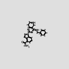 NC(=O)c1cccc2c1cnn2-c1nc2c(c(NCc3ccccc3)n1)CNCC2